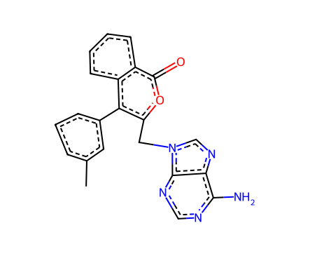 Cc1cccc(-c2c(Cn3cnc4c(N)ncnc43)oc(=O)c3ccccc23)c1